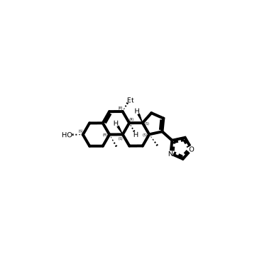 CC[C@H]1C=C2C[C@@H](O)CC[C@]2(C)[C@H]2CC[C@]3(C)C(c4cocn4)=CC[C@H]3[C@H]12